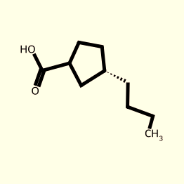 CCCC[C@H]1CCC(C(=O)O)C1